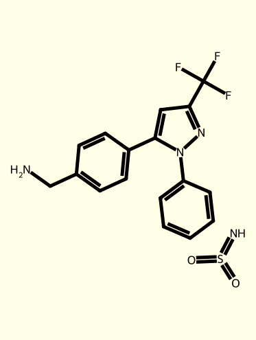 N=S(=O)=O.NCc1ccc(-c2cc(C(F)(F)F)nn2-c2ccccc2)cc1